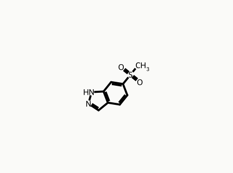 CS(=O)(=O)c1ccc2cn[nH]c2c1